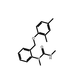 CNC(=O)N(C)c1ccccc1COc1ccc(C)cc1C